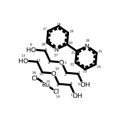 OCCOCCO.OCCOCCO.[Cl][Ru][Cl].c1ccc(-c2ccccn2)nc1